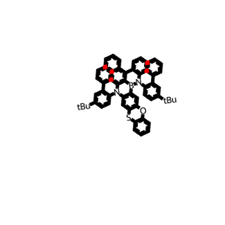 CC(C)(C)c1ccc(N2B3c4cc5c(cc4N(c4ccc(C(C)(C)C)cc4-c4ccccc4)c4cc6ccccc6c(c43)-c3ccccc32)Sc2ccccc2O5)c(-c2ccccc2)c1